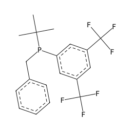 CC(C)(C)P(Cc1ccccc1)c1cc(C(F)(F)F)cc(C(F)(F)F)c1